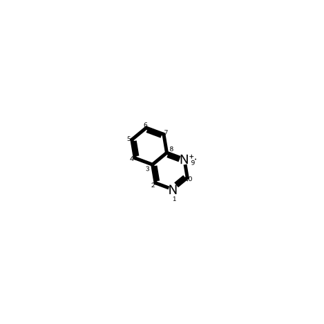 [C]1=NC=c2ccccc2=[N+]1